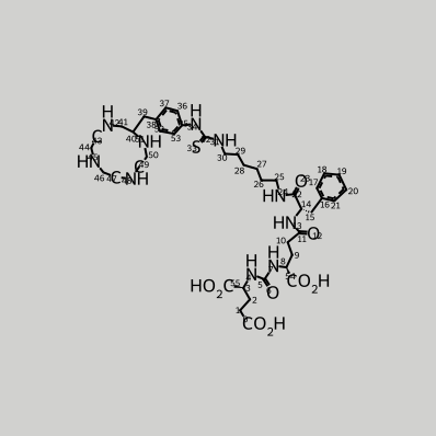 O=C(O)CC[C@H](NC(=O)N[C@@H](CCC(=O)N[C@@H](Cc1ccccc1)C(=O)NCCCCCCNC(=S)Nc1ccc(CC2CNCCNCCNCCN2)cc1)C(=O)O)C(=O)O